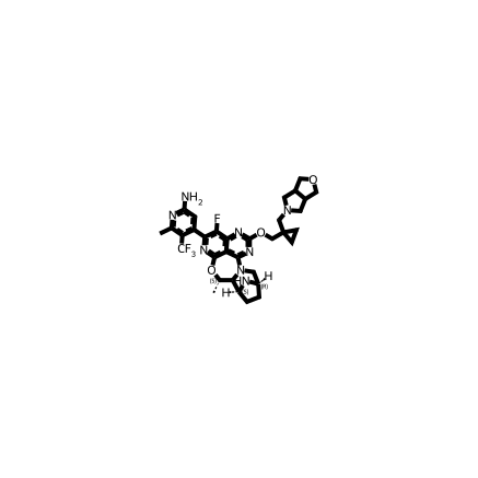 Cc1nc(N)cc(-c2nc3c4c(nc(OCC5(CN6CC7COCC7C6)CC5)nc4c2F)N2C[C@H]4CC[C@H](N4)C2[C@H](C)O3)c1C(F)(F)F